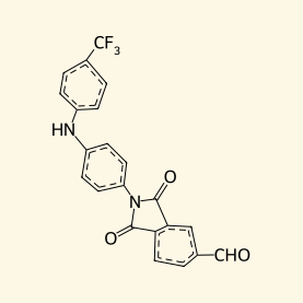 O=Cc1ccc2c(c1)C(=O)N(c1ccc(Nc3ccc(C(F)(F)F)cc3)cc1)C2=O